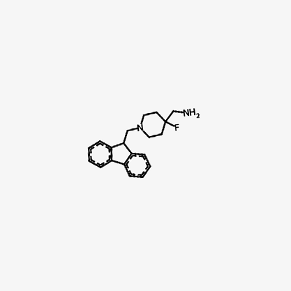 NCC1(F)CCN(CC2c3ccccc3-c3ccccc32)CC1